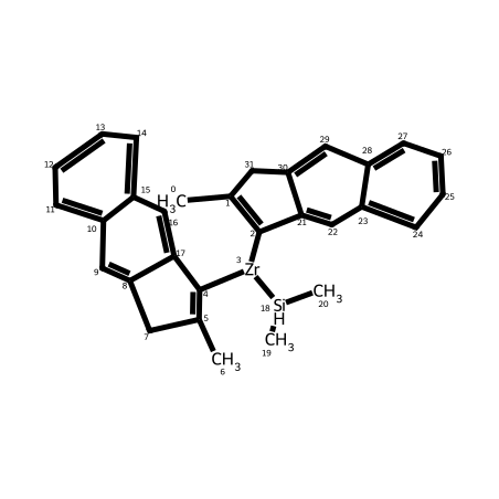 CC1=[C]([Zr]([C]2=C(C)Cc3cc4ccccc4cc32)[SiH](C)C)c2cc3ccccc3cc2C1